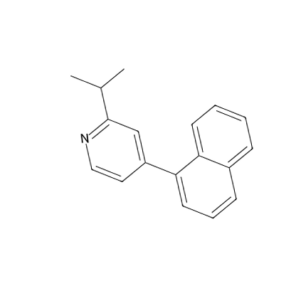 CC(C)c1cc(-c2cccc3ccccc23)ccn1